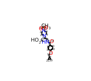 CS(=O)(=O)N1CCN([C@@H](CNC(=O)c2ccc(OCC3CC3)cc2)C(=O)O)CC1